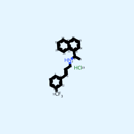 CC(NCC=Cc1cccc(C(F)(F)F)c1)c1cccc2ccccc12.Cl